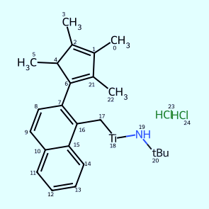 CC1=C(C)C(C)C(c2ccc3ccccc3c2[CH2][Ti][NH]C(C)(C)C)=C1C.Cl.Cl